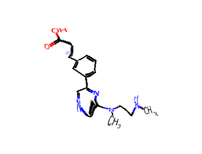 CNCCN(C)c1cncc(-c2cccc(/C=C/C(=O)O)c2)n1